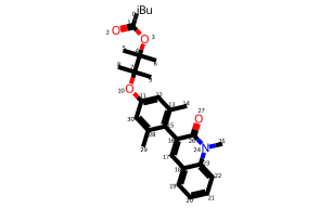 CCC(C)C(=O)OC(C)(C)C(C)(C)Oc1cc(C)c(-c2cc3ccccc3n(C)c2=O)c(C)c1